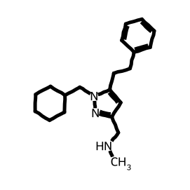 CNCc1cc(CCc2ccccc2)n(CC2CCCCC2)n1